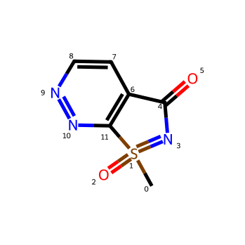 CS1(=O)=NC(=O)c2ccnnc21